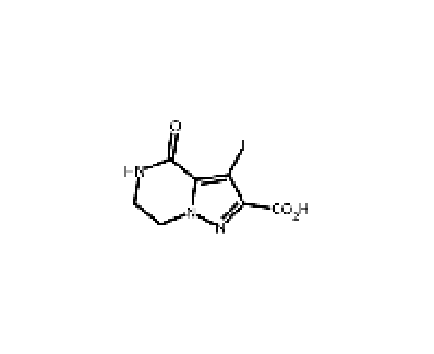 O=C(O)c1nn2c(c1I)C(=O)NCC2